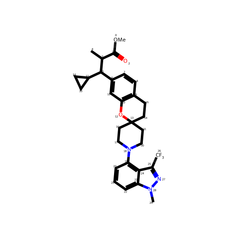 COC(=O)C(C)C(c1ccc2c(c1)OC1(CC2)CCN(c2cccc3c2c(C(F)(F)F)nn3C)CC1)C1CC1